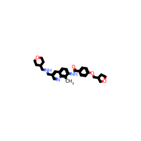 Cc1c(NC(=O)c2ccc(OCC3CCOC3)cc2)ccc2cc(CNCC3CCOCC3)cnc12